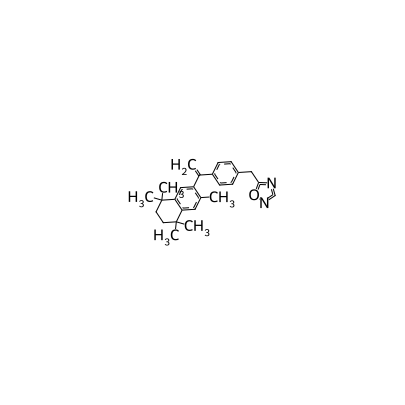 C=C(c1ccc(Cc2ncno2)cc1)c1cc2c(cc1C)C(C)(C)CCC2(C)C